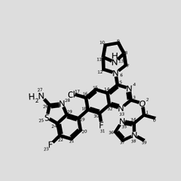 CC(Oc1nc(N2CC3CCC(C2)N3)c2cc(Cl)c(-c3ccc(F)c4sc(N)nc34)c(F)c2n1)c1nccn1C